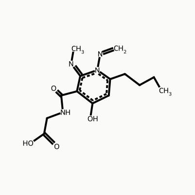 C=Nn1c(CCCC)cc(O)c(C(=O)NCC(=O)O)/c1=N/C